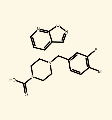 O=C(O)N1CCN(Cc2ccc(Br)c(F)c2)CC1.c1cnc2oncc2c1